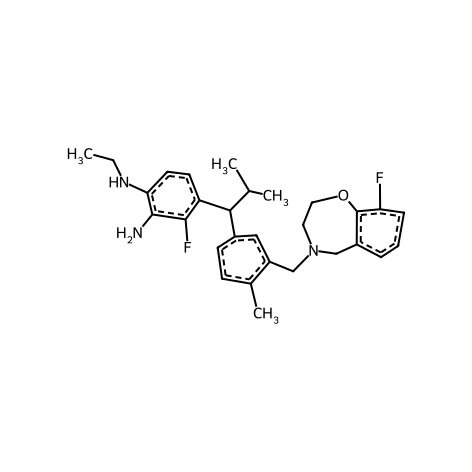 CCNc1ccc(C(c2ccc(C)c(CN3CCOc4c(F)cccc4C3)c2)C(C)C)c(F)c1N